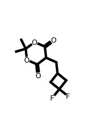 CC1(C)OC(=O)C(CC2CC(F)(F)C2)C(=O)O1